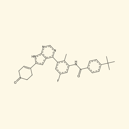 Cc1c(NC(=O)c2ccc(C(C)(C)C)cc2)cc(F)cc1-c1ncnc2[nH]c(C3=CCC(=O)CC3)cc12